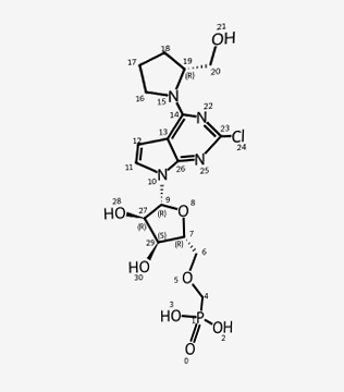 O=P(O)(O)COC[C@H]1O[C@@H](n2ccc3c(N4CCC[C@@H]4CO)nc(Cl)nc32)[C@H](O)[C@@H]1O